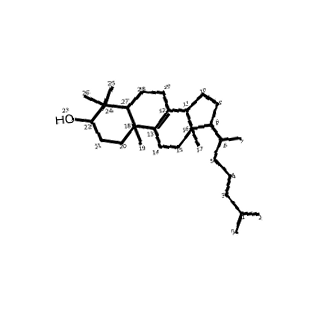 CC(C)CCCC(C)C1CCC2C3=C(CCC21C)C1(C)CCC(O)C(C)(C)C1CC3